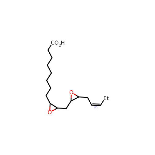 CC/C=C\CC1OC1CC1OC1CCCCCCCC(=O)O